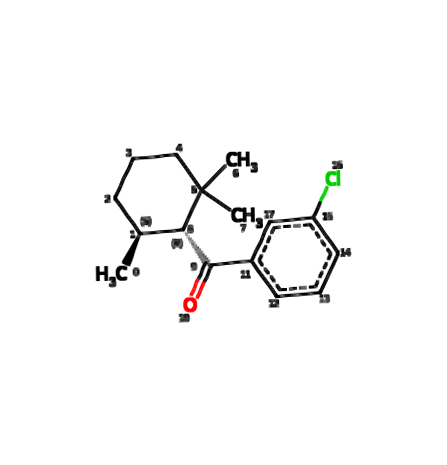 C[C@H]1CCCC(C)(C)[C@@H]1C(=O)c1cccc(Cl)c1